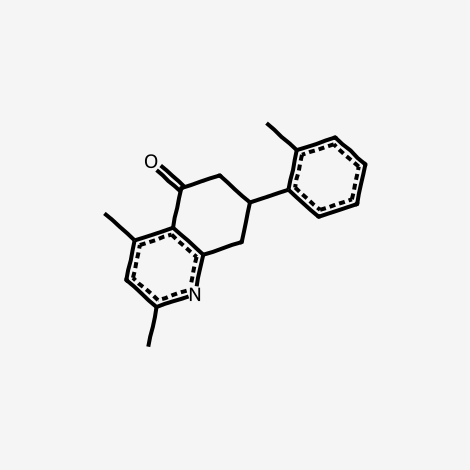 Cc1cc(C)c2c(n1)CC(c1ccccc1C)CC2=O